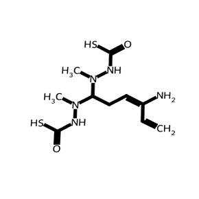 C=C/C(N)=C\CC(N(C)NC(=O)S)N(C)NC(=O)S